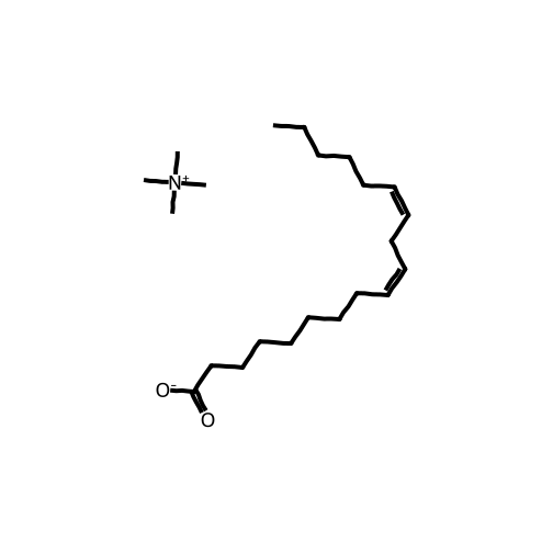 CCCCC/C=C\C/C=C\CCCCCCCC(=O)[O-].C[N+](C)(C)C